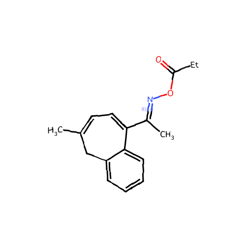 CCC(=O)O/N=C(\C)C1=CC=C(C)Cc2ccccc21